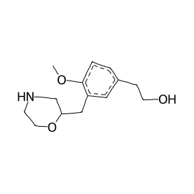 COc1ccc(CCO)cc1CC1CNCCO1